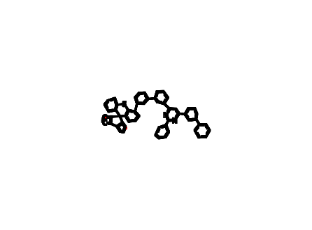 c1ccc(-c2cccc(-c3cc(-c4cccc(-c5cccc(-c6cccc7c6Sc6ccccc6C76c7ccccc7-c7ccccc76)c5)c4)nc(-c4ccccc4)n3)c2)cc1